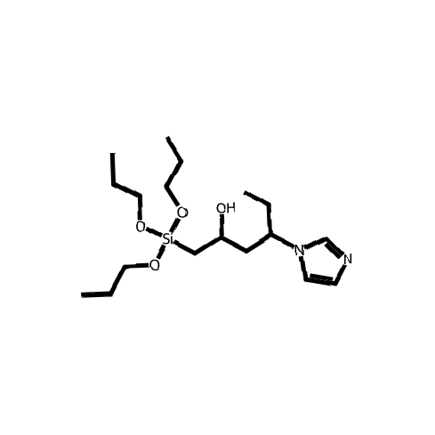 CCCO[Si](CC(O)CC(CC)n1ccnc1)(OCCC)OCCC